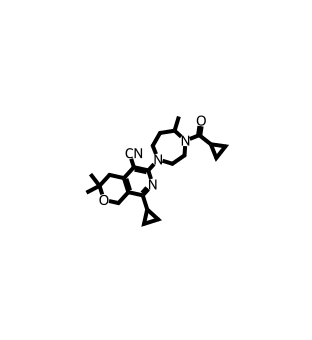 CC1CCN(c2nc(C3CC3)c3c(c2C#N)CC(C)(C)OC3)CCN1C(=O)C1CC1